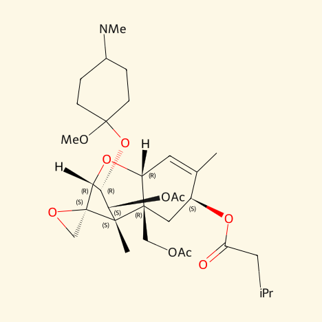 CNC1CCC(OC)(O[C@@H]2[C@@H](OC(C)=O)[C@]3(C)[C@@]4(COC(C)=O)C[C@H](OC(=O)CC(C)C)C(C)=C[C@H]4O[C@H]2[C@@]32CO2)CC1